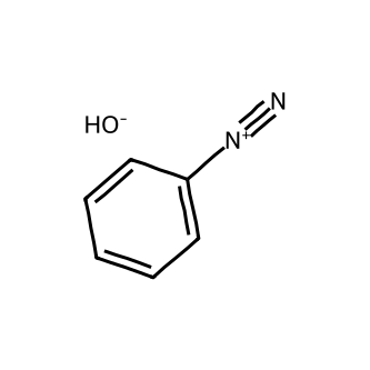 N#[N+]c1ccccc1.[OH-]